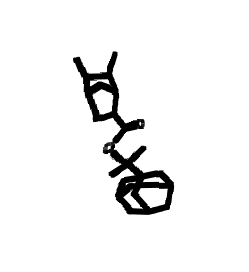 CC1C2CC(C(=O)OC(C)(C)C34CC5CC(CC(C5)C3)C4)C(C2)C1C